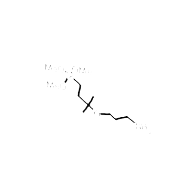 CO[Si](CCC(C)(C)OCCCN)(OC)OC